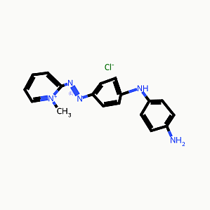 C[n+]1ccccc1/N=N/c1ccc(Nc2ccc(N)cc2)cc1.[Cl-]